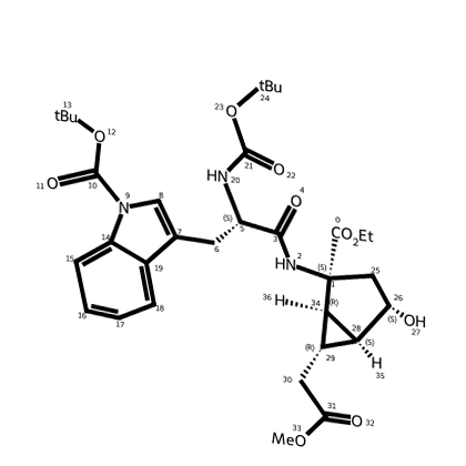 CCOC(=O)[C@]1(NC(=O)[C@H](Cc2cn(C(=O)OC(C)(C)C)c3ccccc23)NC(=O)OC(C)(C)C)C[C@H](O)[C@H]2[C@H](CC(=O)OC)[C@H]21